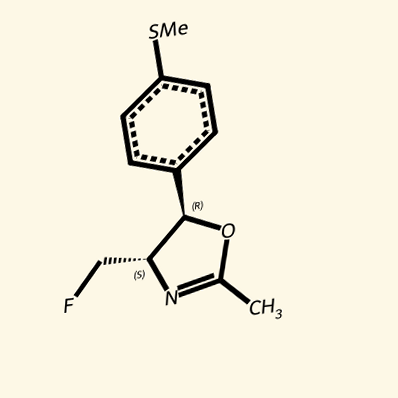 CSc1ccc([C@H]2OC(C)=N[C@@H]2CF)cc1